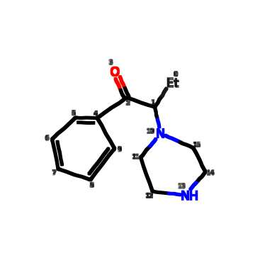 CCC(C(=O)c1ccccc1)N1CCNCC1